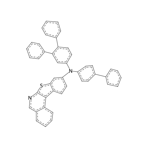 c1ccc(-c2ccc(N(c3ccc(-c4ccccc4)c(-c4ccccc4)c3)c3ccc4c(c3)sc3ncc5ccccc5c34)cc2)cc1